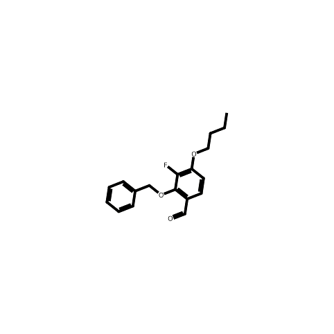 CCCCOc1ccc(C=O)c(OCc2ccccc2)c1F